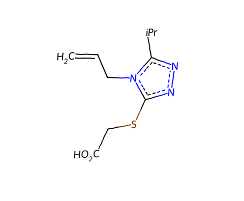 C=CCn1c(SCC(=O)O)nnc1C(C)C